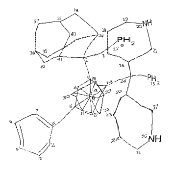 PCC1([C]23[CH]4[C]5(c6ccccc6)[CH]6[C]2(C(P)(C2CCCNC2)C2CCCNC2)[Fe]64532789[CH]3[CH]2[CH]7[CH]8[CH]39)C2CC3CC(C2)CC1C3